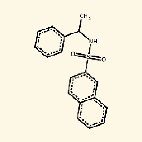 CC(NS(=O)(=O)c1ccc2ccccc2c1)c1ccccc1